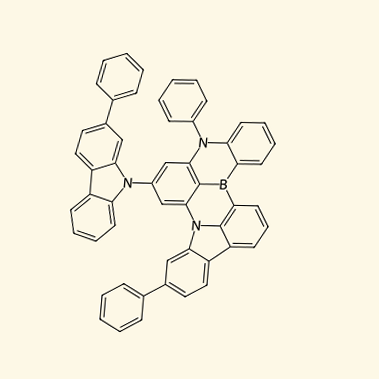 c1ccc(-c2ccc3c4ccccc4n(-c4cc5c6c(c4)-n4c7cc(-c8ccccc8)ccc7c7cccc(c74)B6c4ccccc4N5c4ccccc4)c3c2)cc1